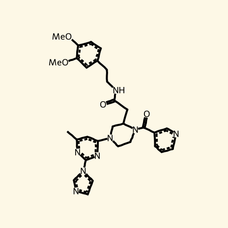 COc1ccc(CCNC(=O)CC2CN(c3cc(C)nc(-n4ccnc4)n3)CCN2C(=O)c2cccnc2)cc1OC